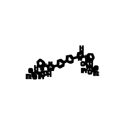 CCS(=O)(=O)N[C@H](C(=O)N1C2CCC(C2)[C@H]1c1nc(-c2ccc(-c3ccc(-c4c[nH]c([C@@H]5C6CCC(C6)N5C(=O)[C@@H](NS(=O)(=O)CC)C(C)C)n4)cc3)cc2)c[nH]1)C(C)C